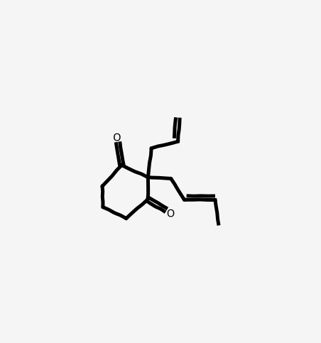 C=CCC1(CC=CC)C(=O)CCCC1=O